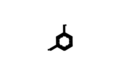 [CH2]c1cccc([CH2])c1